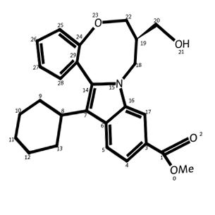 COC(=O)c1ccc2c(C3CCCCC3)c3n(c2c1)C[C@H](CO)COc1ccccc1-3